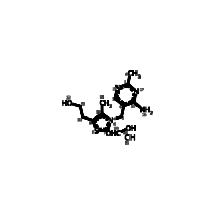 Cc1ncc(C[n+]2csc(CCO)c2C)c(N)n1.Cl.O=CO